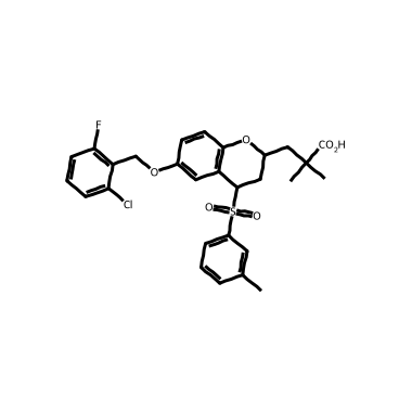 Cc1cccc(S(=O)(=O)C2CC(CC(C)(C)C(=O)O)Oc3ccc(OCc4c(F)cccc4Cl)cc32)c1